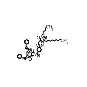 CCCCCCCCCC(=O)N[C@@H](Cc1nc2cc(C(=O)N3C[C@@H](C(=O)N[C@H]4C[C@@H]4c4ccccc4)[C@H](C(=O)N[C@H]4C[C@@H]4c4ccccc4)C3)ccc2o1)C(=O)NCCCCCC